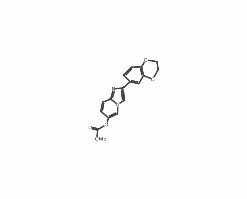 COC(=O)Oc1ccc2nc(-c3ccc4c(c3)OCCO4)cn2c1